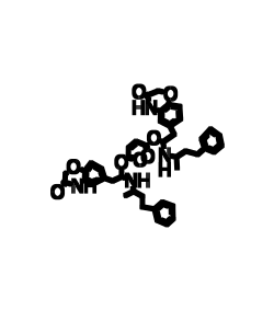 CC(CCc1ccccc1)NC(Cc1ccc2c(c1)NC(=O)CO2)OC(=O)/C=C\C(=O)OC(Cc1ccc2c(c1)NC(=O)CO2)NC(C)CCc1ccccc1